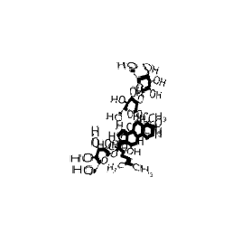 CC(C)=CCC[C@](C)(O[C@@H]1O[C@H](CO)[C@@H](O)[C@H](O)[C@H]1O)[C@H]1CC[C@]2(C)[C@@H]1[C@H](O)C[C@@H]1[C@@]3(C)CC[C@H](O)C(C)(C)[C@@H]3[C@@H](O[C@@H]3O[C@H](CO)[C@@H](O)[C@H](O)[C@H]3O[C@@H]3O[C@H](CO)[C@@H](O)[C@H](O)[C@H]3O)C[C@]12C